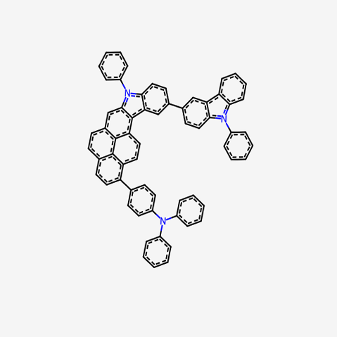 c1ccc(N(c2ccccc2)c2ccc(-c3ccc4ccc5cc6c(c7ccc3c4c57)c3cc(-c4ccc5c(c4)c4ccccc4n5-c4ccccc4)ccc3n6-c3ccccc3)cc2)cc1